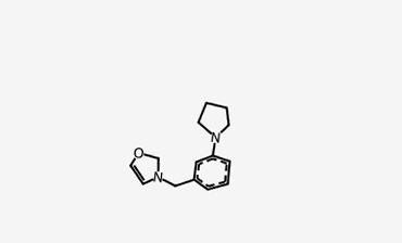 C1=CN(Cc2cccc(N3CCCC3)c2)CO1